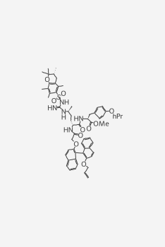 C=CCOc1ccc2ccccc2c1-c1c(OCC(=O)N[C@H](CC[C@H](C)NC(=N)NS(=O)(=O)c2c(C)c(C)c3c(c2C)C[C@@H](C)C(C)(C)O3)C(=O)N[C@@H](Cc2ccc(OCCC)cc2)C(=O)OC)ccc2ccccc12